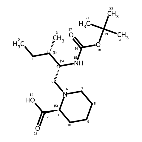 CC[C@H](C)[C@@H](CN1CCCC[C@H]1C(=O)O)NC(=O)OC(C)(C)C